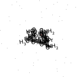 CC[C@@]1(O)C(=O)OCc2c1cc1n(c2=O)Cc2c-1nc1cc(F)c(C)c3c1c2[C@@H](NC(=O)OCc1ccc(NC(=O)[C@H](CCCNC(N)=O)NC(=O)[C@@H](NC(=O)[C@H](CCCCN)NC(=O)CCCCCN2C(=O)C=CC2=O)C(C)C)cc1)CC3